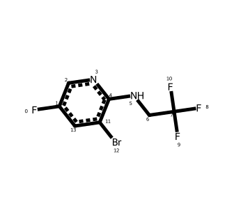 Fc1cnc(NCC(F)(F)F)c(Br)c1